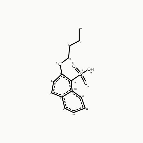 CCCCOc1ccc2ccccc2c1S(=O)(=O)O